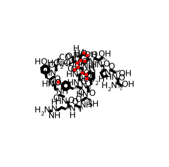 C[C@H](NC(=O)[C@H](CS)NC(=O)[C@H](Cc1ccccc1)NC(=O)[C@H](Cc1ccc(O)cc1)NC(=O)[C@@H](NC(=O)[C@H](C)NC(=O)[C@@H](NC(=O)[C@H](CC(=O)O)NC(=O)[C@H](CCC(=O)O)NC(=O)[C@@H](NC(=O)[C@@H](NC(=O)[C@@H]1CCCN1C(=O)[C@H](CO)NC(=O)[C@@H](N)[C@@H](C)O)[C@@H](C)O)[C@@H](C)O)[C@@H](C)O)[C@@H](C)O)C(=O)N[C@@H](CCCNC(=N)N)C(=O)NCC(=O)NCC(=O)N[C@@H](Cc1ccc(O)cc1)C(=O)NCC(=O)NCC(=O)O